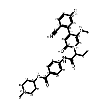 CCC(C(=O)Nc1ccc(C(=O)OC2CCN(C)CC2)cc1)n1cc(OC)c(-c2cc(Cl)ccc2C#N)cc1=O